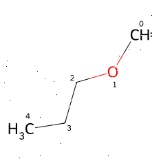 [CH]OCCC